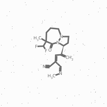 C=C(/C=C(C#N)\C=N/C)[C@@H]1CCN2CCCC(C)(C(F)F)C(=O)N12